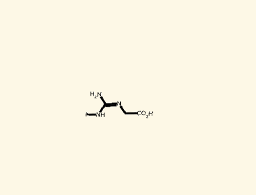 N/C(=N/CC(=O)O)NI